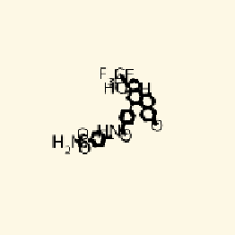 CC12C[C@H](c3ccc(C(=O)NCc4ccc(S(N)(=O)=O)cc4)cc3)C3=C4CCC(=O)C=C4CCC3[C@@H]1CC[C@@]2(O)C(F)(F)C(F)(F)F